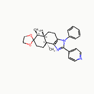 C[C@H]1[C@@H]2CCc3c(nc(-c4ccncc4)n3-c3ccccc3)[C@@]2(C)CCC12OCCO2